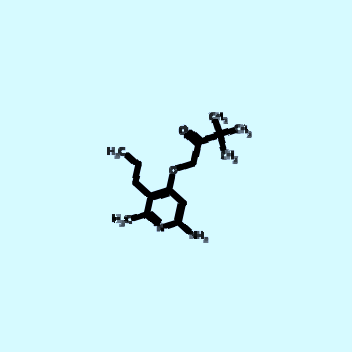 CCCc1c(OCC(=O)C(C)(C)C)cc(N)nc1C